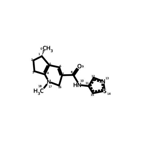 C[C@H]1CCC2=C1C=C(C(=O)Nc1cnsc1)CN2C